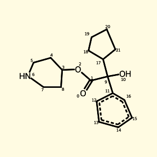 O=C(OC1CCNCC1)C(O)(c1ccccc1)C1CCCC1